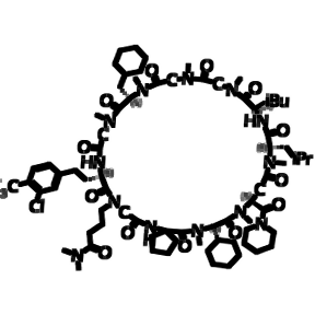 CC[C@H](C)[C@@H]1NC(=O)[C@H](CC(C)C)N(C)C(=O)C[C@@H](C(=O)N2CCCCC2)N(C)C(=O)[C@H](C2CCCCC2)N(C)C(=O)C2(CCCC2)NC(=O)CN(CCCC(=O)N(C)C)C(=O)[C@H](CCc2ccc(C(F)(F)F)c(Cl)c2)NC(=O)CN(C)C(=O)[C@H](CC2CCCCC2)N(C)C(=O)CN(C)C(=O)CN(C)C1=O